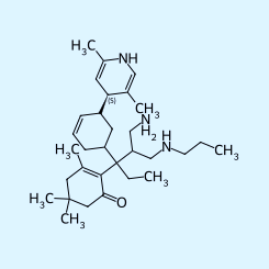 CCCNCC(CN)C(CC)(C1=C(C)CC(C)(C)CC1=O)C1CC=CC([C@H]2C=C(C)NC=C2C)C1